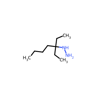 CCCCC(CC)(CC)NN